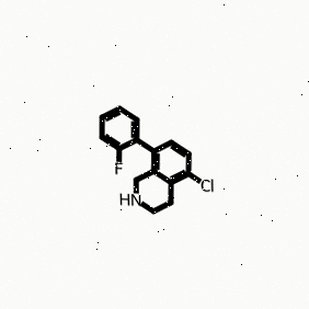 Fc1ccccc1-c1ccc(Cl)c2c1CNCC2